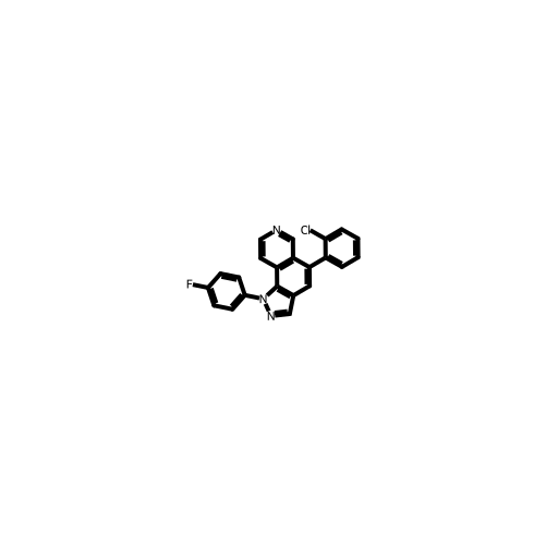 Fc1ccc(-n2ncc3cc(-c4ccccc4Cl)c4cnccc4c32)cc1